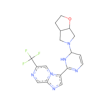 FC(F)(F)c1cn2c(C3=NC=CC(N4CC5CCOC5C4)N3)cnc2cn1